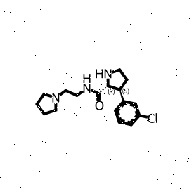 O=C(NCCN1CCCC1)[C@@H]1NCC[C@H]1c1cccc(Cl)c1